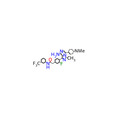 CNC1CC=C(c2cnc(N)c3c(-c4ccc(CC(=O)Nc5cccc(C(F)(F)F)c5)cc4F)nc(C)n23)CC1